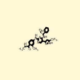 CNC(=O)c1ccc(Nc2ncc(-c3cc(C)[nH]n3)c(N[C@H](CO)c3ccccc3)n2)cc1C